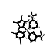 CC1=C(C)C(C)C([Si](c2cc(C)cc(C)c2)(c2cccc([Si](C)(C)C)c2)c2cccc([Si](C)(C)C)c2)=C1C